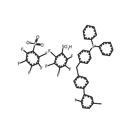 Cc1ccc(I)c(-c2ccc(Cc3ccc([S+](c4ccccc4)c4ccccc4)cc3)cc2)c1.O=S(=O)(O)c1c(F)c(F)c(F)c(F)c1F.O=S(=O)([O-])c1c(F)c(F)c(F)c(F)c1F